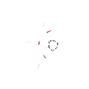 CCOC(=O)Oc1cc(C)cc(OC(=O)OCC)c1OC(=O)OCC